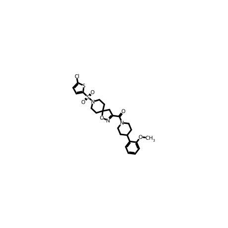 COc1ccccc1C1CCN(C(=O)C2=NOC3(CCN(S(=O)(=O)c4ccc(Cl)s4)CC3)C2)CC1